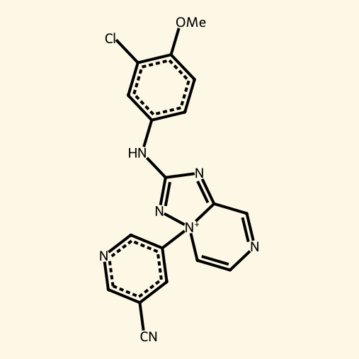 COc1ccc(NC2=N[N+]3(c4cncc(C#N)c4)C=CN=CC3=N2)cc1Cl